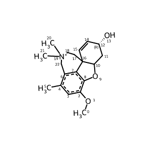 COc1cc(C)c2c3c1OC1C[C@@H](O)C=CC31CC[N+](C)(C)C2